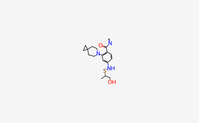 C=NC(=O)c1ccc(NSC(C)CO)cc1N1CCC2(CC1)CC2